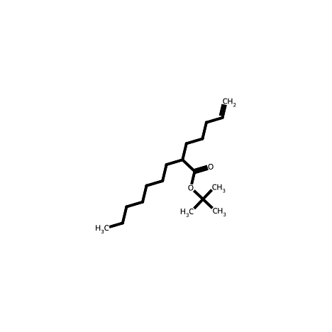 C=CCCCC(CCCCCCC)C(=O)OC(C)(C)C